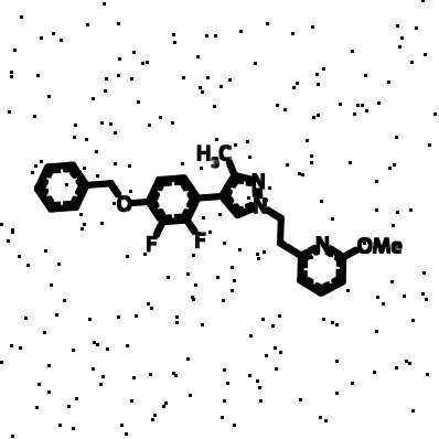 COc1cccc(CCn2cc(-c3ccc(OCc4ccccc4)c(F)c3F)c(C)n2)n1